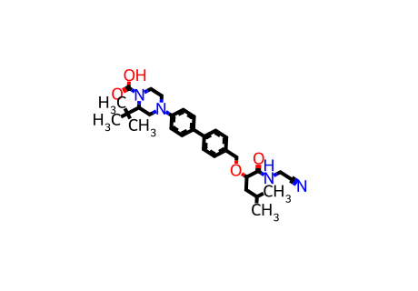 CC(C)CC(OCc1ccc(-c2ccc(N3CCN(C(=O)O)C(C(C)(C)C)C3)cc2)cc1)C(=O)NCC#N